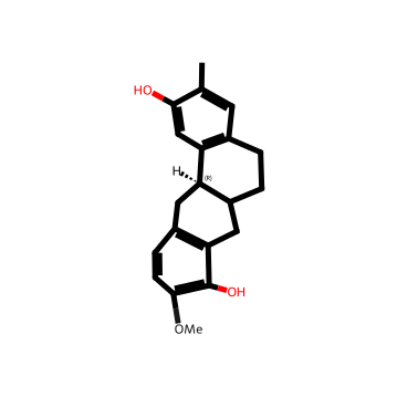 COc1ccc2c(c1O)CC1CCc3cc(C)c(O)cc3[C@@H]1C2